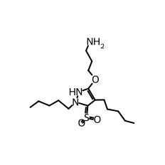 CCCCCc1c(OCCCN)[nH]n(CCCCC)c1=S(=O)=O